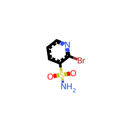 NS(=O)(=O)c1cccnc1Br